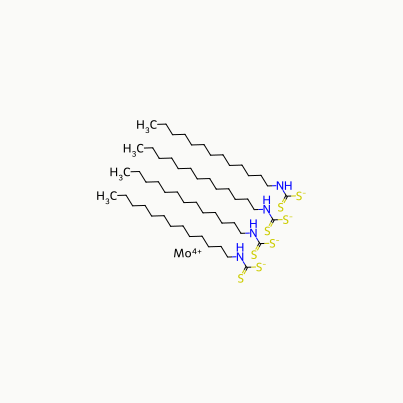 CCCCCCCCCCCCCNC(=S)[S-].CCCCCCCCCCCCCNC(=S)[S-].CCCCCCCCCCCCCNC(=S)[S-].CCCCCCCCCCCCCNC(=S)[S-].[Mo+4]